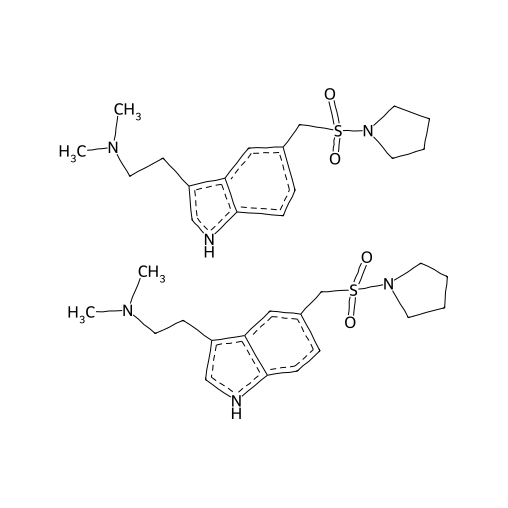 CN(C)CCc1c[nH]c2ccc(CS(=O)(=O)N3CCCC3)cc12.CN(C)CCc1c[nH]c2ccc(CS(=O)(=O)N3CCCC3)cc12